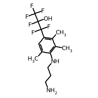 Cc1cc(C(F)(F)C(O)(F)C(F)(F)F)c(C)c(C)c1NCCCN